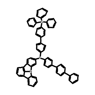 c1ccc(-c2ccc(-c3ccc(N(c4ccc(-c5ccc([Si](c6ccccc6)(c6ccccc6)c6ccccc6)cc5)cc4)c4ccc5c6cccc7c8ccccc8n(c5c4)c76)cc3)cc2)cc1